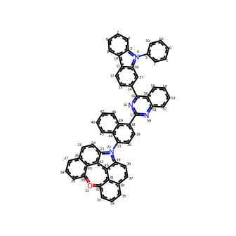 c1ccc(-n2c3ccccc3c3ccc(-c4nc(-c5ccc(-n6c7ccc8cccc9oc%10cccc%11ccc6c(c%11%10)c7c89)c6ccccc56)nc5ccccc45)cc32)cc1